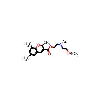 CC(=O)N(CCOC(=O)C1=Cc2cc(C)cc(C)c2OC1C(F)(F)F)CCO[N+](=O)[O-]